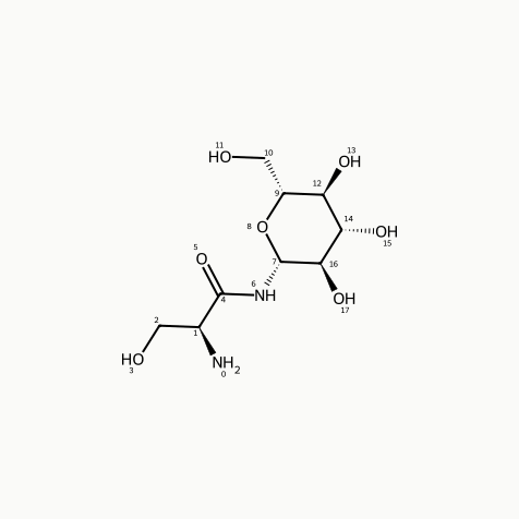 N[C@@H](CO)C(=O)N[C@@H]1O[C@H](CO)[C@@H](O)[C@H](O)[C@H]1O